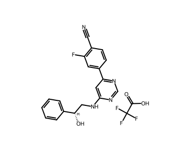 N#Cc1ccc(-c2cc(NC[C@H](O)c3ccccc3)ncn2)cc1F.O=C(O)C(F)(F)F